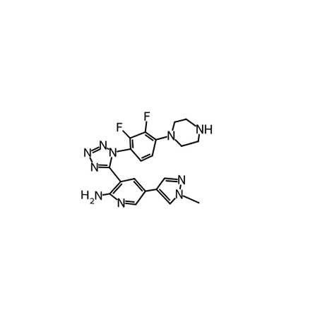 Cn1cc(-c2cnc(N)c(-c3nnnn3-c3ccc(N4CCNCC4)c(F)c3F)c2)cn1